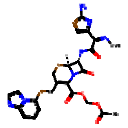 CO/N=C(\C(=O)N[C@@H]1C(=O)N2C(C(=O)OCOC(=O)C(C)(C)C)=C(CSc3cccc4nccn34)CS[C@@H]12)c1csc(N)n1